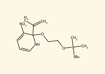 C=C(C)C1(OCCO[Si](C)(C)C(C)(C)C)NC=CC=C1[N+](=O)[O-]